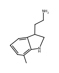 Cc1cccc2c1NCC2CCN